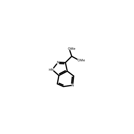 COC(OC)c1n[nH]c2ccncc12